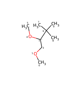 COC[C](OC)C(C)(C)C